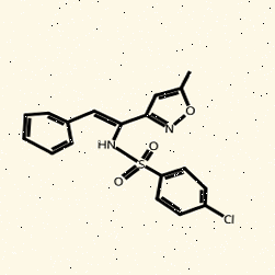 Cc1cc(C(=Cc2ccccc2)NS(=O)(=O)c2ccc(Cl)cc2)no1